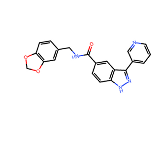 O=C(NCc1ccc2c(c1)OCO2)c1ccc2[nH]nc(-c3cccnc3)c2c1